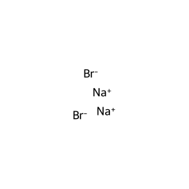 [Br-].[Br-].[Na+].[Na+]